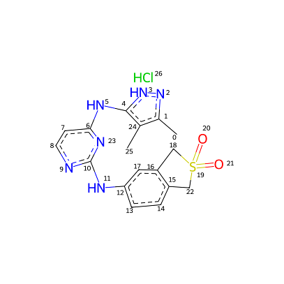 Cc1n[nH]c(Nc2ccnc(Nc3ccc4c(c3)CS(=O)(=O)C4)n2)c1C.Cl